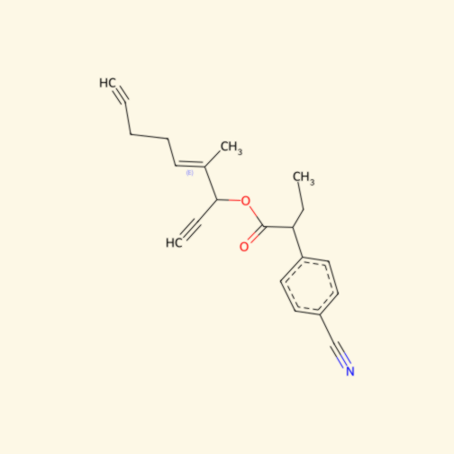 C#CCC/C=C(\C)C(C#C)OC(=O)C(CC)c1ccc(C#N)cc1